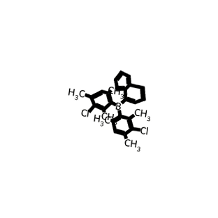 Cc1cc(C)c(B(c2c(C)cc(C)c(Cl)c2C)c2cccc3ccccc23)c(C)c1Cl